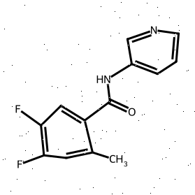 Cc1cc(F)c(F)cc1C(=O)Nc1cccnc1